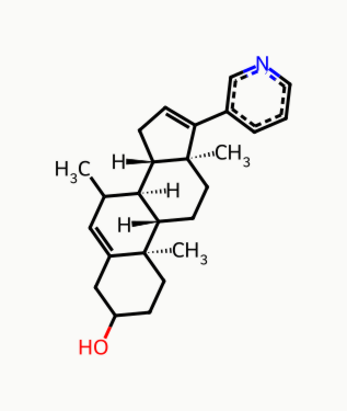 CC1C=C2CC(O)CC[C@]2(C)[C@H]2CC[C@]3(C)C(c4cccnc4)=CC[C@H]3[C@H]12